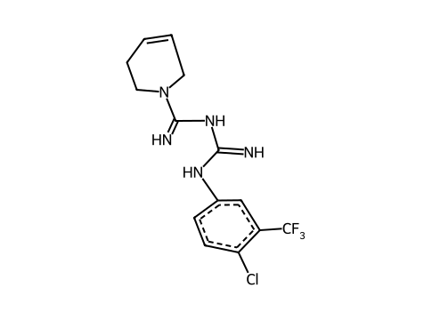 N=C(NC(=N)N1CC=CCC1)Nc1ccc(Cl)c(C(F)(F)F)c1